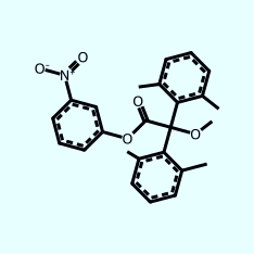 COC(C(=O)Oc1cccc([N+](=O)[O-])c1)(c1c(C)cccc1C)c1c(C)cccc1C